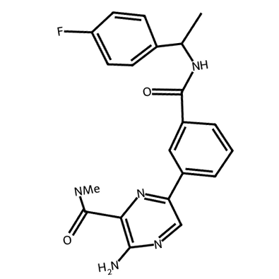 CNC(=O)c1nc(-c2cccc(C(=O)NC(C)c3ccc(F)cc3)c2)cnc1N